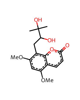 COc1cc(OC)c2ccc(=O)oc2c1CC(O)C(C)(C)O